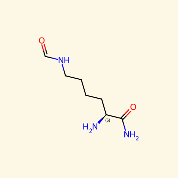 NC(=O)[C@@H](N)CCCCNC=O